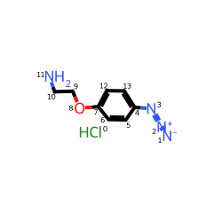 Cl.[N-]=[N+]=Nc1ccc(OCCN)cc1